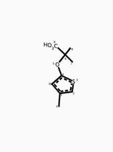 Cc1csc(OC(C)(C)C(=O)O)c1